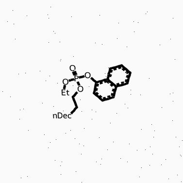 CCCCCCCCCCCCOP(=O)(OCC)Oc1cccc2ccccc12